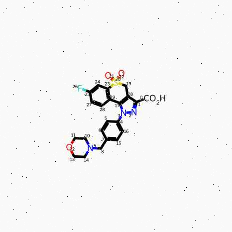 O=C(O)c1nn(-c2ccc(CN3CCOCC3)cc2)c2c1CS(=O)(=O)c1cc(F)ccc1-2